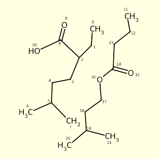 CCC(CCC(C)C)C(=O)O.CCCC(=O)OCCC(C)C